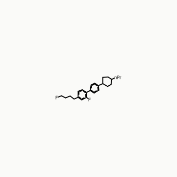 CCCC1CCC(c2ccc(-c3ccc(CCCCF)cc3F)cc2)CC1